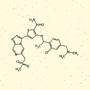 CC(Oc1cc(-c2cnc3cnc(CS(C)(=O)=O)cn23)sc1C(N)=O)c1ccc(CN(C)C)cc1Cl